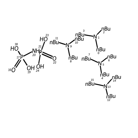 CCCCN(CCCC)CCCC.CCCCN(CCCC)CCCC.CCCCN(CCCC)CCCC.CCCCN(CCCC)CCCC.O=P(O)(O)NP(=O)(O)O